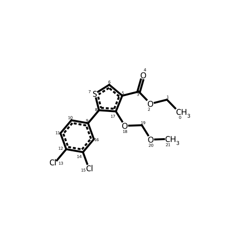 CCOC(=O)c1csc(-c2ccc(Cl)c(Cl)c2)c1OCOC